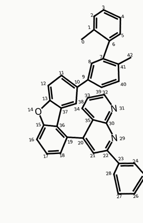 Cc1ccccc1-c1cc(-c2ccc3oc4cccc(-c5cc(-c6ccccc6)nc6ncccc56)c4c3c2)ccc1C